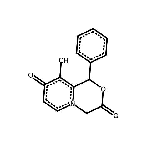 O=C1Cn2ccc(=O)c(O)c2C(c2ccccc2)O1